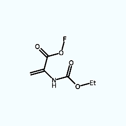 C=C(NC(=O)OCC)C(=O)OF